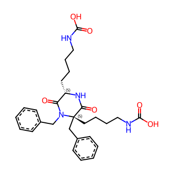 O=C(O)NCCCC[C@@H]1NC(=O)[C@](CCCCNC(=O)O)(Cc2ccccc2)N(Cc2ccccc2)C1=O